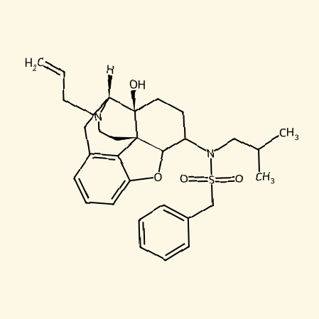 C=CCN1CC[C@]23c4c5cccc4OC2C(N(CC(C)C)S(=O)(=O)Cc2ccccc2)CC[C@@]3(O)[C@H]1C5